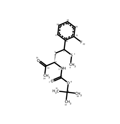 CSC(C[C@H](NC(=O)OC(C)(C)C)C(C)=O)c1ccccc1F